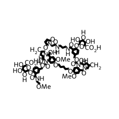 C=C1C[C@H]2C(O)N(C(=O)OCc3ccc(O[C@@H]4O[C@H](C(=O)O)[C@@H](O)[C@H](O)[C@H]4O)c(C(=O)NCCCNC(=O)CN4C(=O)C=CC4=O)c3)c3cc(OCCCCCOc4cc5c(cc4OC)C(O)N4CC(=C)C[C@H]4C(O)N5C(=O)OCc4ccc(O[C@@H]5O[C@H](C(=O)O)[C@@H](O)[C@H](O)[C@H]5O)c(C(=O)NCCOC)c4)c(OC)cc3C(=O)N2C1